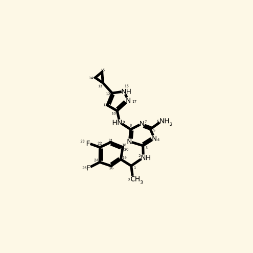 CC(Nc1nc(N)nc(Nc2cc(C3CC3)[nH]n2)n1)c1ccc(F)c(F)c1